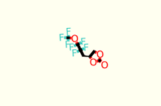 O=C1OC[C@H](CC(F)(F)C(F)(F)OC(F)(F)F)O1